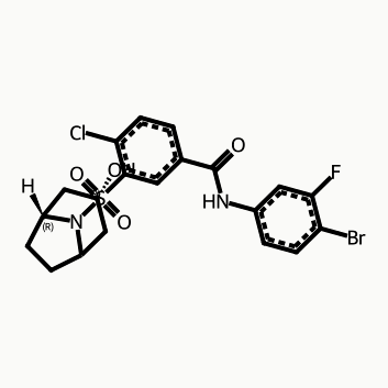 O=C(Nc1ccc(Br)c(F)c1)c1ccc(Cl)c(S(=O)(=O)N2C3CC[C@@H]2C[C@H](O)C3)c1